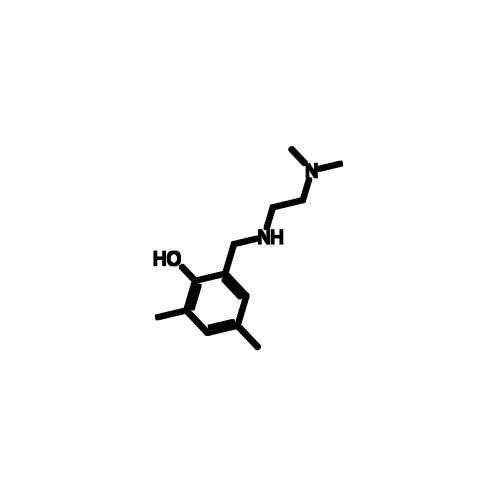 Cc1cc(C)c(O)c(CNCCN(C)C)c1